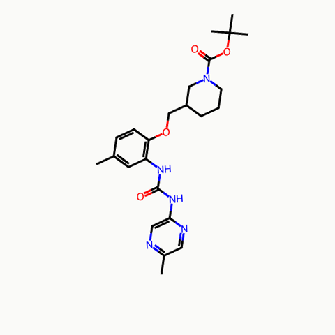 Cc1ccc(OCC2CCCN(C(=O)OC(C)(C)C)C2)c(NC(=O)Nc2cnc(C)cn2)c1